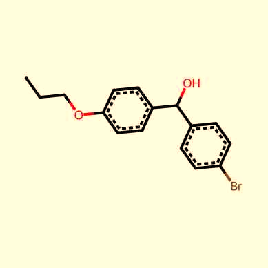 CCCOc1ccc(C(O)c2ccc(Br)cc2)cc1